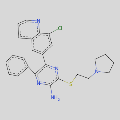 Nc1nc(-c2ccccc2)c(-c2cc(Cl)c3ncccc3c2)nc1SCCN1CCCC1